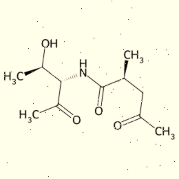 CC(=O)C[C@H](C)C(=O)N[C@H](C(C)=O)[C@@H](C)O